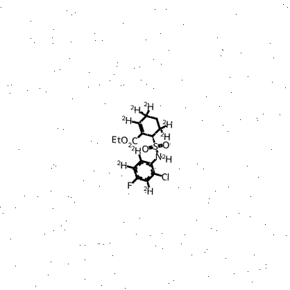 [2H]C1=C(C(=O)OCC)[C@H](S(=O)(=O)N([2H])c2c([2H])c([2H])c(F)c([2H])c2Cl)C([2H])([2H])CC1([2H])[2H]